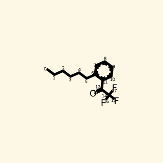 CCCCCCc1ccccc1C(=O)C(F)(F)F